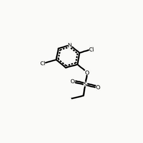 CCS(=O)(=O)Oc1cc(Cl)cnc1Cl